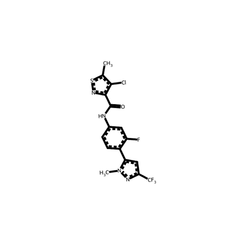 Cc1snc(C(=O)Nc2ccc(-c3cc(C(F)(F)F)nn3C)c(F)c2)c1Cl